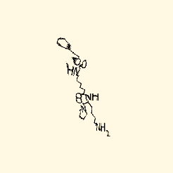 NCCCCC(NC(=O)CCCCCNC(=O)OCc1ccccc1)C(=O)N1CCCC1